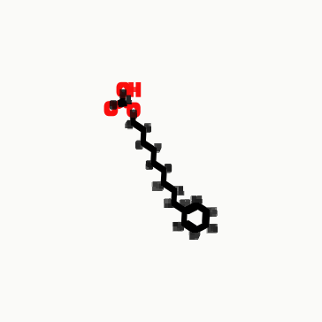 O=C(O)OCCCCCCCCCc1ccccc1